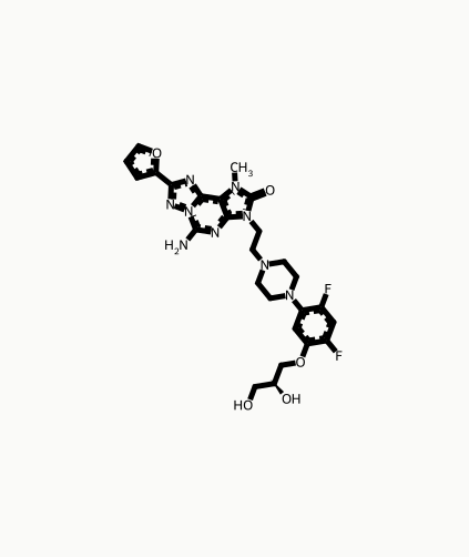 Cn1c(=O)n(CCN2CCN(c3cc(OC[C@@H](O)CO)c(F)cc3F)CC2)c2nc(N)n3nc(-c4ccco4)nc3c21